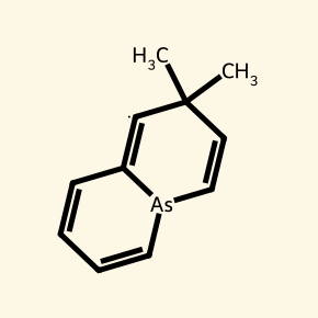 CC1(C)[C]=C2C=CC=C[As]2C=C1